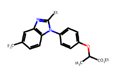 CCOC(=O)C(C)Oc1ccc(-n2c(CC)nc3cc(C(F)(F)F)ccc32)cc1